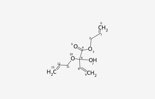 C=CCOC(=O)C(O)(C=C)OCC=C